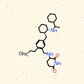 CC(N[C@H]1CCCC[C@@H]1Cc1ccc(CCC=O)c(CNC2CCC(=O)NC2=O)c1)C1CCCCC1